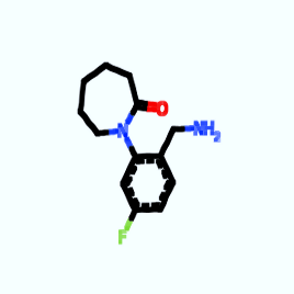 NCc1ccc(F)cc1N1CCCCCC1=O